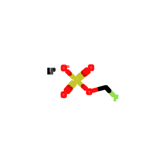 O=S(=O)([O-])OCF.[Li+]